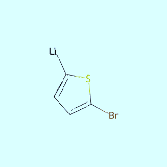 [Li][c]1ccc(Br)s1